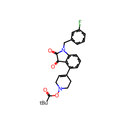 CC(C)(C)C(=O)ON1CC=C(c2cccc3c2C(=O)C(=O)N3Cc2cccc(F)c2)CC1